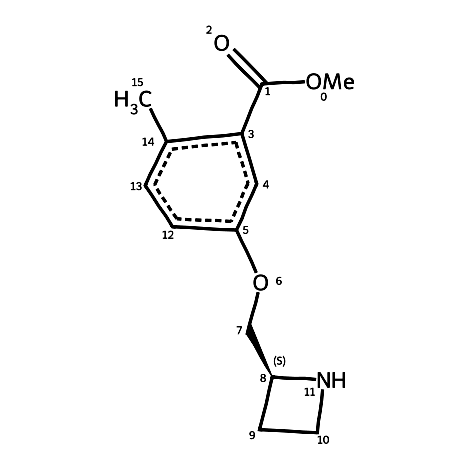 COC(=O)c1cc(OC[C@@H]2CCN2)ccc1C